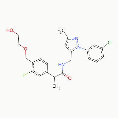 CC(C(=O)NCc1cc(C(F)(F)F)nn1-c1cccc(Cl)c1)c1ccc(COCCO)c(F)c1